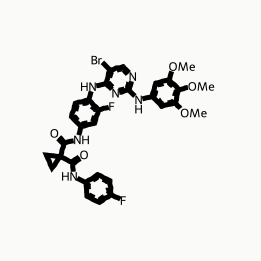 COc1cc(Nc2ncc(Br)c(Nc3ccc(NC(=O)C4(C(=O)Nc5ccc(F)cc5)CC4)cc3F)n2)cc(OC)c1OC